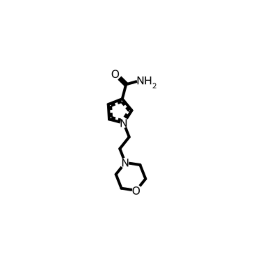 NC(=O)c1ccn(CCN2CCOCC2)c1